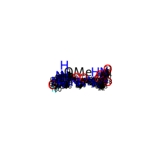 COc1cc(C(=O)NC2CCCN(C(=O)CCN3CCN(c4cccc5c4C(=O)N(C4CCC(=O)NC4=O)C5=O)CC3)C2)ccc1Nc1ncc2c(n1)N(C1CCCC1)CC(F)(F)C(=O)N2C